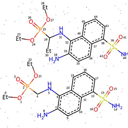 CCOP(=O)(CNc1c(N)ccc2c(S(N)(=O)=O)cccc12)OCC.CCOP(=O)(OCC)C(CC)Nc1c(N)ccc2c(S(N)(=O)=O)cccc12